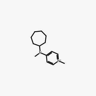 CN(c1cc[n+](C)cc1)C1CCCCCC1